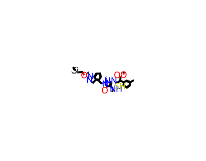 CNc1c(/N=C(\S)C(C(=O)OC)c2cccc(C)c2)n(C)n(Cc2cccc3c2cnn3COCC[Si](C)(C)C)c1=O